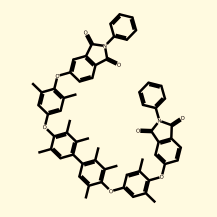 Cc1cc(Oc2c(C)cc(-c3cc(C)c(Oc4cc(C)c(Oc5ccc6c(c5)C(=O)N(c5ccccc5)C6=O)c(C)c4)c(C)c3C)c(C)c2C)cc(C)c1Oc1ccc2c(c1)C(=O)N(c1ccccc1)C2=O